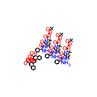 CC(C)(C)C(=O)OCOC(=O)[C@@H]1N2C(=O)[C@@H](NC(=O)[C@H](N)c3ccccc3)[C@H]2SC1(C)C.CC(C)(C)C(=O)OCOC(=O)[C@@H]1N2C(=O)[C@@H](NC(=O)[C@H](N)c3ccccc3)[C@H]2SC1(C)C.CC(C)(C)C(=O)OCOC(=O)[C@@H]1N2C(=O)[C@@H](NC(=O)[C@H](N)c3ccccc3)[C@H]2SC1(C)C.O=C(O)c1cc2ccccc2c(Cc2c(O)c(C(=O)O)cc3ccccc23)c1O